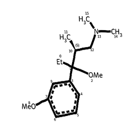 CCC(OC)(c1cccc(OC)c1)[C@@H](C)CN(C)C